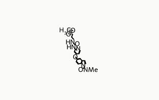 CNC(=O)n1ccc2cc(Oc3ccnc(NC(=O)NCCCS(C)(=O)=O)c3)ccc21